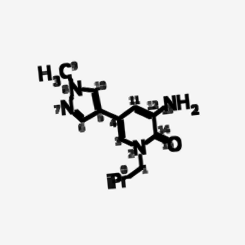 CC(C)Cn1cc(-c2cnn(C)c2)cc(N)c1=O